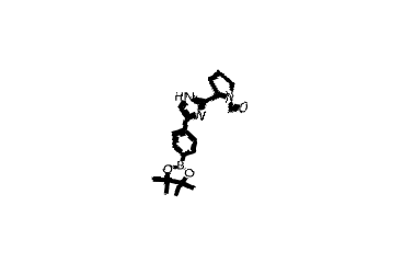 CC1(C)OB(c2ccc(-c3c[nH]c(C4CCCN4C=O)n3)cc2)OC1(C)C